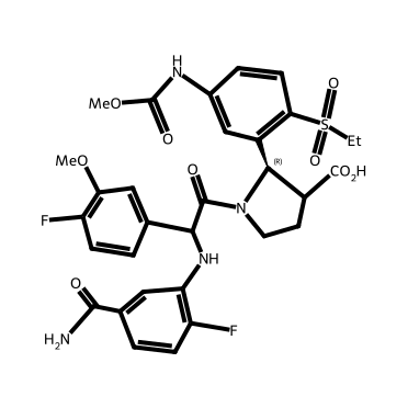 CCS(=O)(=O)c1ccc(NC(=O)OC)cc1[C@H]1C(C(=O)O)CCN1C(=O)C(Nc1cc(C(N)=O)ccc1F)c1ccc(F)c(OC)c1